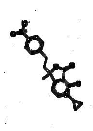 CC1(CCc2ccc([N+](=O)[O-])cc2)OC(=O)c2c1ccn(C1CC1)c2=O